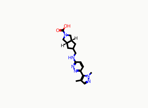 Cc1cnn(C)c1-c1ccc(NCC2C[C@@H]3CN(C(=O)O)C[C@@H]3C2)nn1